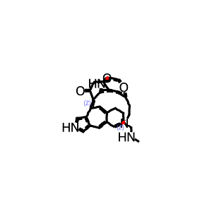 CNC[C@@H]1CCC2=C/C3=C4/C(=O)CC(=O)c5cc(occ[nH]c54)CC/N=C/1C2=Cc1c[nH]cc13